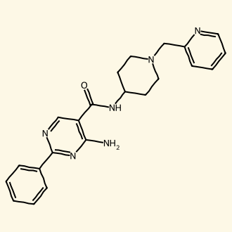 Nc1nc(-c2ccccc2)ncc1C(=O)NC1CCN(Cc2ccccn2)CC1